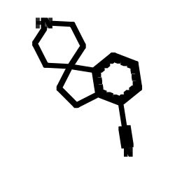 N#Cc1cccc2c1CCC21CCNCC1